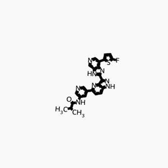 CC(C)C(=O)Nc1cncc(-c2ccc3[nH]nc(-c4nc5c(-c6ccc(F)s6)cncc5[nH]4)c3n2)c1